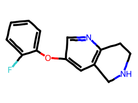 Fc1ccccc1Oc1cnc2c(c1)CNCC2